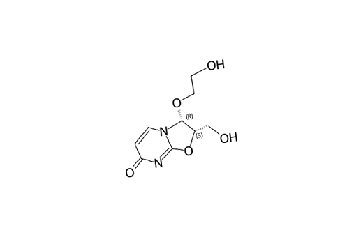 O=c1ccn2c(n1)O[C@@H](CO)[C@H]2OCCO